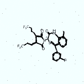 Cc1cccc2c1NC(=O)[C@H](N1C(=O)C(CCC(F)(F)F)C(CCC(F)(F)F)C1=O)N=C2c1cccc(F)c1